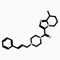 CC1CCCn2c(C(=O)N3CCN(CC=Cc4ccccc4)CC3)[c]nc21